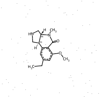 CCc1cc(OC)c2c(c1)[C@H]1CNC[C@@H]1N(C)C2=O